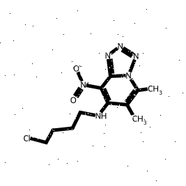 Cc1c(NCCCCCl)c([N+](=O)[O-])c2nnnn2c1C